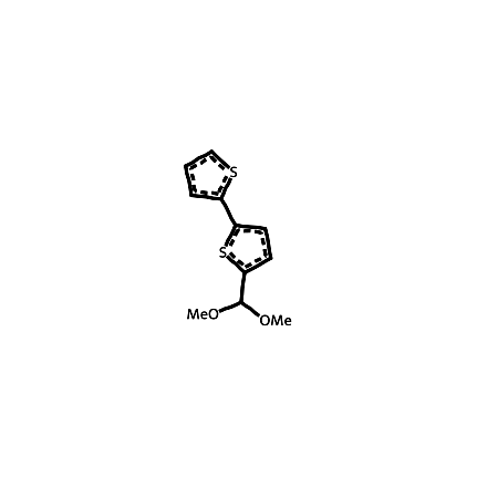 COC(OC)c1ccc(-c2cccs2)s1